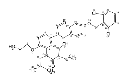 CCCOc1ccc(C(C=O)Cc2ccc(OCc3c(Cl)cccc3Cl)cc2)cc1N(CC(C)C)C(=O)C(CC)CC